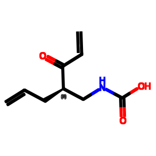 C=CC[C@H](CNC(=O)O)C(=O)C=C